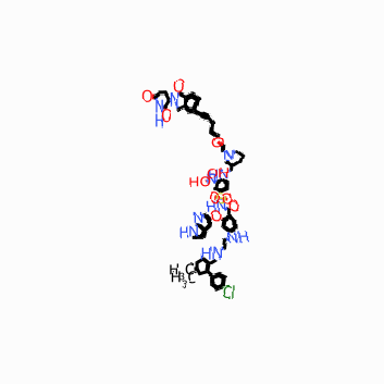 CC1(C)CCC(CNCCNc2ccc(C(=O)NS(=O)(=O)c3ccc(NCC4CCCN(CCOCCCC#Cc5ccc6c(c5)CN(C5CCC(=O)NC5=O)C6=O)C4)c(N(O)O)c3)c(Oc3cnc4[nH]ccc4c3)c2)=C(c2ccc(Cl)cc2)C1